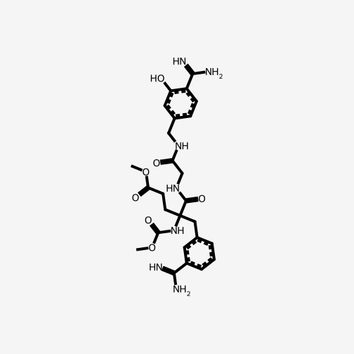 COC(=O)CCC(Cc1cccc(C(=N)N)c1)(NC(=O)OC)C(=O)NCC(=O)NCc1ccc(C(=N)N)c(O)c1